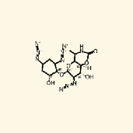 CC1NC(=O)O[C@@H]2C1O[C@H](O[C@@H]1C(N=[N+]=[N-])CC(N=[N+]=[N-])C[C@H]1O)C(N=[N+]=[N-])[C@H]2O